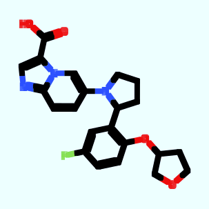 O=C(O)c1cnc2ccc(N3CCCC3c3cc(F)ccc3OC3CCOC3)cn12